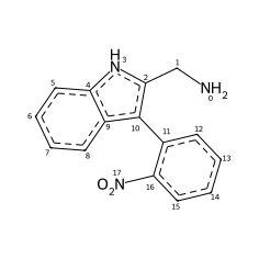 NCc1[nH]c2ccccc2c1-c1ccccc1[N+](=O)[O-]